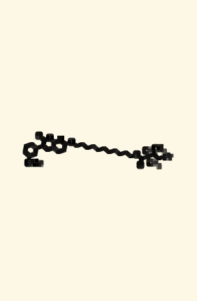 COc1cccc(-c2cc3ccc(OCCCCCCCCCCCOC(=O)C(C)(C)C(C)CC(C)C)nc3oc2=O)c1